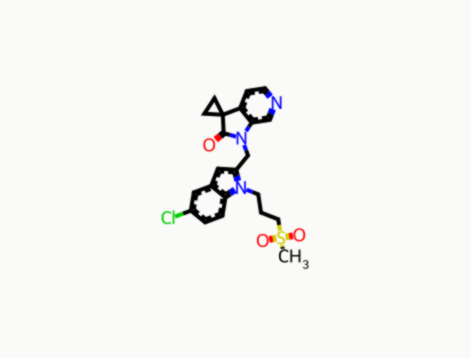 CS(=O)(=O)CCCn1c(CN2C(=O)C3(CC3)c3ccncc32)cc2cc(Cl)ccc21